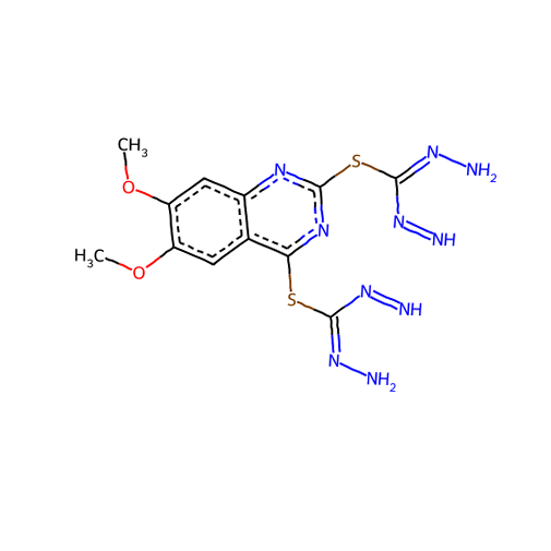 COc1cc2nc(SC(N=N)=NN)nc(SC(N=N)=NN)c2cc1OC